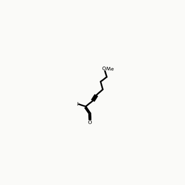 COCCCC#CC(I)=C=O